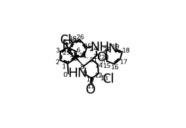 Cc1ccc(F)cc1[C@@H]1NC(=O)[C@@H](Cl)[C@@H](C2C=CC=NC2)[C@]12C(=O)Nc1cc(Cl)ccc12